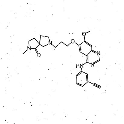 C#Cc1cccc(Nc2ncnc3cc(OC)c(OCCCN4CCC5(CCN(C)C5=O)C4)cc23)c1